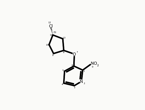 O=[N+]([O-])c1ncccc1OC1CC[C@H](Cl)C1